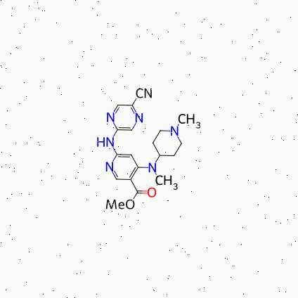 COC(=O)c1cnc(Nc2cnc(C#N)cn2)cc1N(C)C1CCN(C)CC1